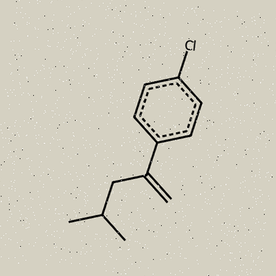 C=C(CC(C)C)c1ccc(Cl)cc1